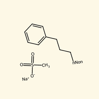 CCCCCCCCCCCCc1ccccc1.CS(=O)(=O)[O-].[Na+]